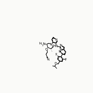 CC(C)OCc1cc(F)c(-c2ccc3cnc(Nc4cnccc4N4C[C@@H](N)[C@@H](OCCC#N)[C@@H](C)C4)n3n2)c(F)c1